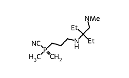 C=P(C)(C#N)CCCNC(CC)(CC)CNC